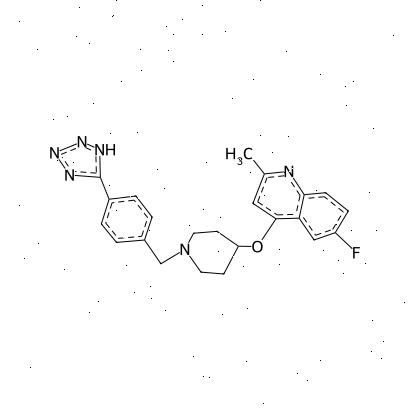 Cc1cc(OC2CCN(Cc3ccc(-c4nnn[nH]4)cc3)CC2)c2cc(F)ccc2n1